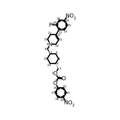 O=C(OC[C@H]1CC[C@H](CN2CC=C(c3ccc([N+](=O)[O-])cc3F)CC2)CC1)Oc1ccc([N+](=O)[O-])cc1